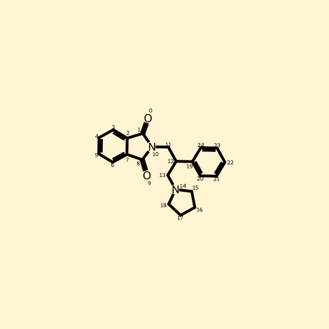 O=C1c2ccccc2C(=O)N1CC(CN1CCCC1)c1ccccc1